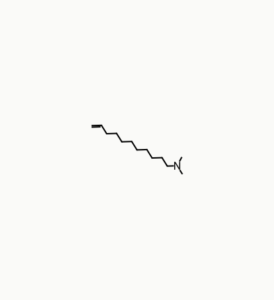 C=CCCCCCCCCCN(C)C